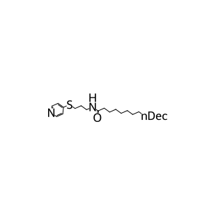 CCCCCCCCCCCCCCCCCC(=O)NCCCSc1ccncc1